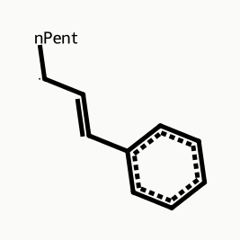 CCCCC[CH]/C=C/c1ccccc1